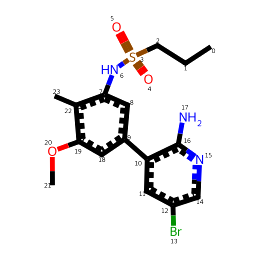 CCCS(=O)(=O)Nc1cc(-c2cc(Br)cnc2N)cc(OC)c1C